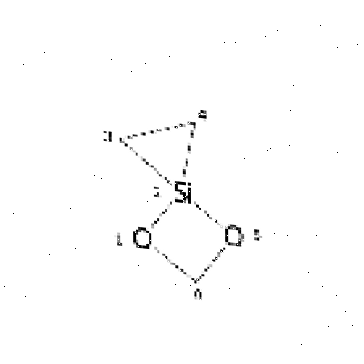 C1O[Si]2(CC2)O1